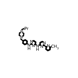 Cc1cccc(-c2nccc(Nc3ccnc(Nc4ccc(CN5CCN(CC(C)C)CC5)cc4)n3)n2)n1